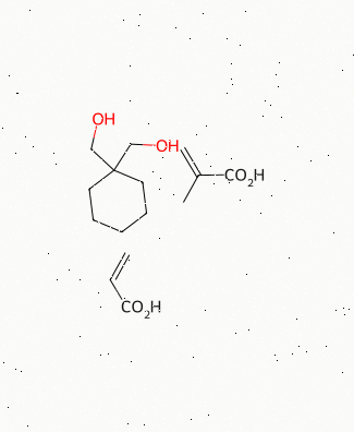 C=C(C)C(=O)O.C=CC(=O)O.OCC1(CO)CCCCC1